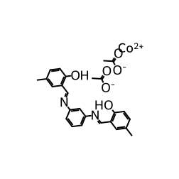 CC(=O)[O-].CC(=O)[O-].Cc1ccc(O)c(C=Nc2cccc(N=Cc3cc(C)ccc3O)c2)c1.[Co+2]